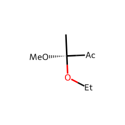 CCO[C@](C)(OC)C(C)=O